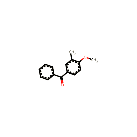 COc1ccc(C(=O)c2ccccc2)cc1C